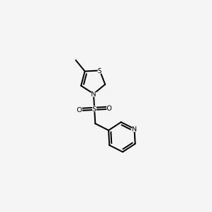 CC1=CN(S(=O)(=O)Cc2cccnc2)CS1